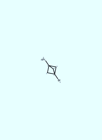 CCCC12CC(Br)(C1)C2